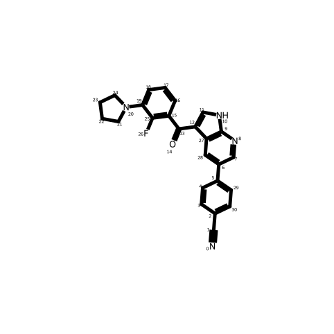 N#Cc1ccc(-c2cnc3[nH]cc(C(=O)c4cccc(N5CCCC5)c4F)c3c2)cc1